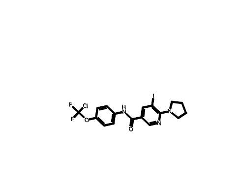 O=C(Nc1ccc(OC(F)(F)Cl)cc1)c1cnc(N2CCCC2)c(I)c1